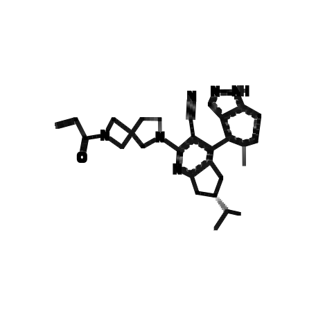 C=CC(=O)N1CC2(CCN(c3nc4c(c(-c5c(C)ccc6[nH]ncc56)c3C#N)C[C@H](C(C)C)C4)C2)C1